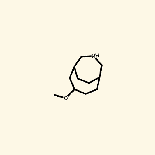 COC1CCC2CCC(CNC2)C1